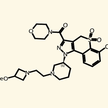 COC1CN(CCN2CCC[C@H](n3nc(C(=O)N4CCOCC4)c4c3-c3cccc(Cl)c3S(=O)(=O)C4)C2)C1